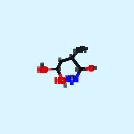 CCCC(CC(O)O)C(N)=O